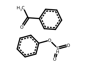 CC(=O)c1ccccc1.O=[SH](=O)Oc1ccccc1